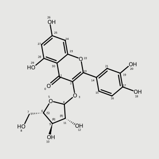 O=c1c(OC2O[C@@H](CO)[C@H](O)[C@H]2O)c(-c2ccc(O)c(O)c2)oc2cc(O)cc(O)c12